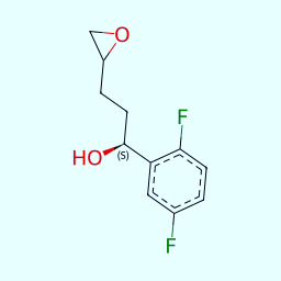 O[C@@H](CCC1CO1)c1cc(F)ccc1F